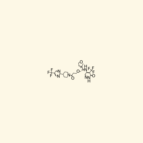 O=C(CCOC[C@@H](Nc1cn[nH]c(=O)c1C(F)(F)F)[C@H]1CCOC1)N1CCC(c2ncc(C(F)(F)F)cn2)CC1